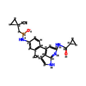 Cc1cc(N[S+]([O-])CC2(C#N)CC2)ccc1-c1cc(NC(=O)C2CC2)nc2[nH]ccc12